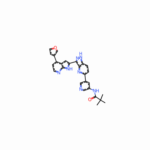 CC(C)(C)C(=O)Nc1cncc(-c2ccc3[nH]nc(-c4cc5c(-c6ccoc6)ccnc5[nH]4)c3n2)c1